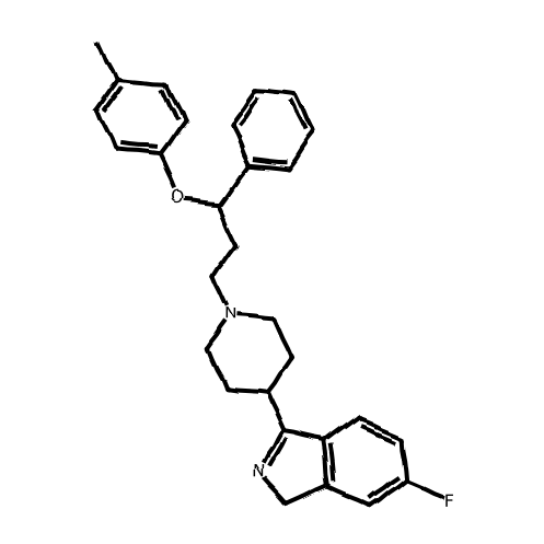 Cc1ccc(OC(CCN2CCC(C3=NCc4cc(F)ccc43)CC2)c2ccccc2)cc1